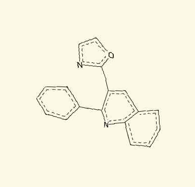 c1ccc(-c2nc3ccccc3cc2-c2ncco2)cc1